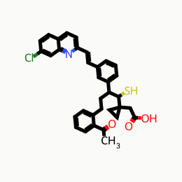 CC(=O)c1ccccc1CCC(c1cccc(C=Cc2ccc3ccc(Cl)cc3n2)c1)C(S)C1(CC(=O)O)CC1